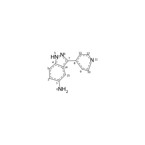 Nc1ccc2[nH]nc(-c3ccncc3)c2c1